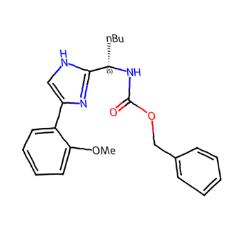 CCCC[C@H](NC(=O)OCc1ccccc1)c1nc(-c2ccccc2OC)c[nH]1